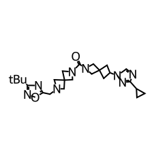 CC(C)(C)c1noc(CN2CC3(C2)CN(C(=O)N2CC4(CC(n5cnc(C6CC6)n5)C4)C2)C3)n1